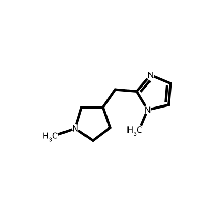 CN1CCC(Cc2nccn2C)C1